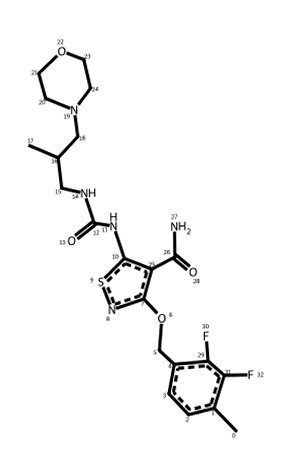 Cc1ccc(COc2nsc(NC(=O)NCC(C)CN3CCOCC3)c2C(N)=O)c(F)c1F